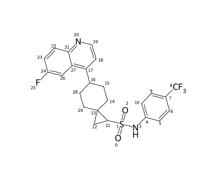 O=S(=O)(Nc1ccc(C(F)(F)F)cc1)C1CC12CCC(c1ccnc3ccc(F)cc13)CC2